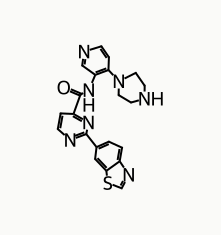 O=C(Nc1cnccc1N1CCNCC1)c1ccnc(-c2ccc3ncsc3c2)n1